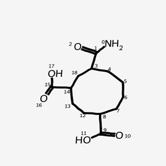 NC(=O)C1CCCCC(C(=O)O)CCC(C(=O)O)C1